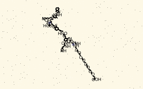 C=N/C(C(=O)O)=C(/CCCOc1ccc(C#CCNC(=O)OCc2ccc(NC(=O)C(CCCNC)NC)cc2CN(C)C(=O)OC/C(=C/NCCOCCOCCOCCOCCOCCOCCOCCOCCC(=O)O)N=N)cc1F)SCN(CCCC(O)C[N+](C)(C)C)c1cc(C)c(Nc2nc3ccccc3s2)nn1